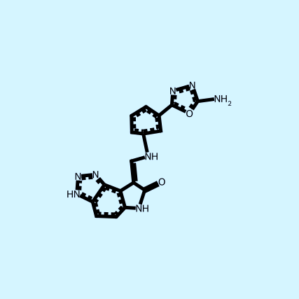 Nc1nnc(-c2cccc(N/C=C3\C(=O)Nc4ccc5[nH]nnc5c43)c2)o1